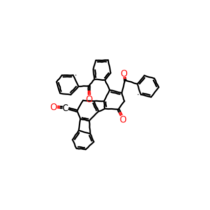 O=C=C1CC2=C(C3=C2C(c2ccccc2C(=O)c2[c]cccc2)=C(C(=O)c2[c]cccc2)CC3=O)C2=C1c1ccccc12